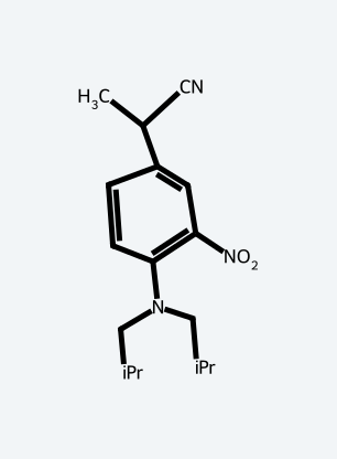 CC(C)CN(CC(C)C)c1ccc(C(C)C#N)cc1[N+](=O)[O-]